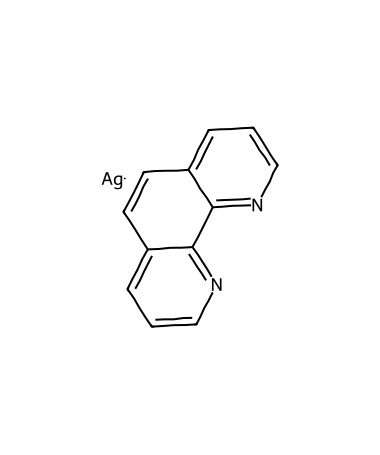 [Ag].c1cnc2c(c1)ccc1cccnc12